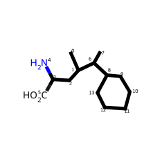 CC(CC(N)C(=O)O)C(C)C1CCCCC1